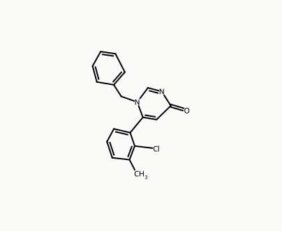 Cc1cccc(-c2cc(=O)ncn2Cc2ccccc2)c1Cl